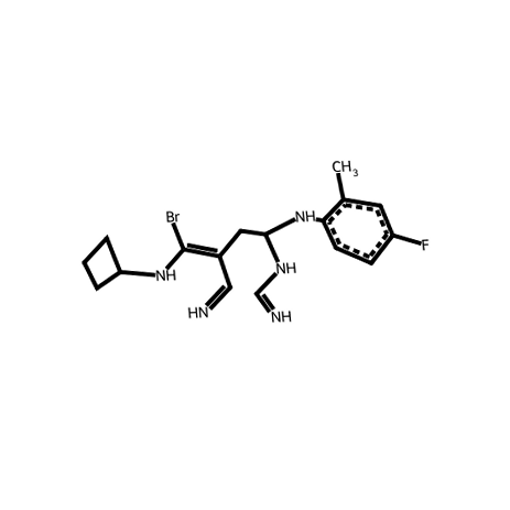 Cc1cc(F)ccc1NC(C/C(C=N)=C(\Br)NC1CCC1)NC=N